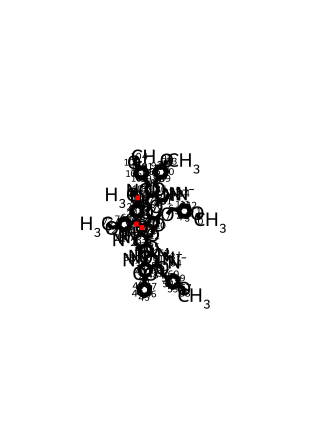 COc1ccc(COCC2OC(OC3C(OCc4ccc(OC)cc4)C(N=[N+]=[N-])CC(N=[N+]=[N-])C3OC3OC4COC(c5ccccc5)OC4C(OCc4ccc(OC)cc4)C3N=[N+]=[N-])C(OCc3ccc(OC)cc3)C2OC2OC(CN=[N+]=[N-])C(OCc3ccc(OC)cc3)C(OCc3ccc(OC)cc3)C2N=[N+]=[N-])cc1